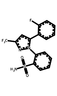 NS(=O)(=O)c1ccccc1-n1nc(C(F)(F)F)cc1-c1ccccc1F